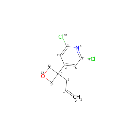 C=CCC1(c2cc(Cl)nc(Cl)c2)COC1